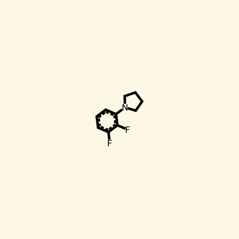 Fc1cccc(N2CCCC2)c1F